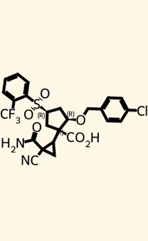 N#CC1(C(N)=O)CC1[C@]1(C(=O)O)C[C@@H](S(=O)(=O)c2ccccc2C(F)(F)F)C[C@H]1OCc1ccc(Cl)cc1